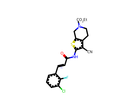 CCOC(=O)N1CCc2c(sc(NC(=O)/C=C/c3cccc(Cl)c3F)c2C#N)C1